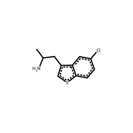 CC(N)Cc1csc2ccc(Cl)cc12